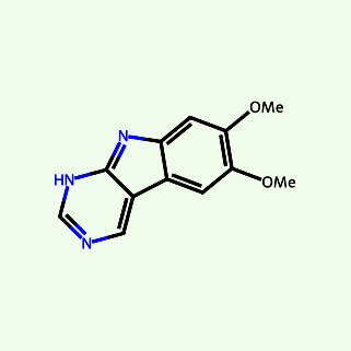 COc1cc2nc3[nH]cncc-3c2cc1OC